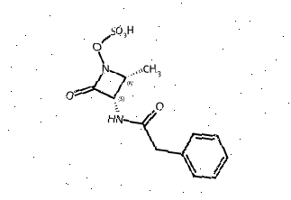 C[C@@H]1[C@H](NC(=O)Cc2ccccc2)C(=O)N1OS(=O)(=O)O